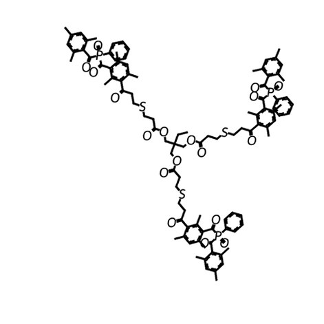 CCC(COC(=O)CCSCCC(=O)c1c(C)cc(C)c(C(=O)P(=O)(C(=O)c2c(C)cc(C)cc2C)c2ccccc2)c1C)(COC(=O)CCSCCC(=O)c1c(C)cc(C)c(C(=O)P(=O)(C(=O)c2c(C)cc(C)cc2C)c2ccccc2)c1C)COC(=O)CCSCCC(=O)c1c(C)cc(C)c(C(=O)P(=O)(C(=O)c2c(C)cc(C)cc2C)c2ccccc2)c1C